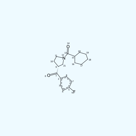 O=C(c1ccc(F)cc1)[C@@H]1CCN(C(=O)C2CCCCC2)C1